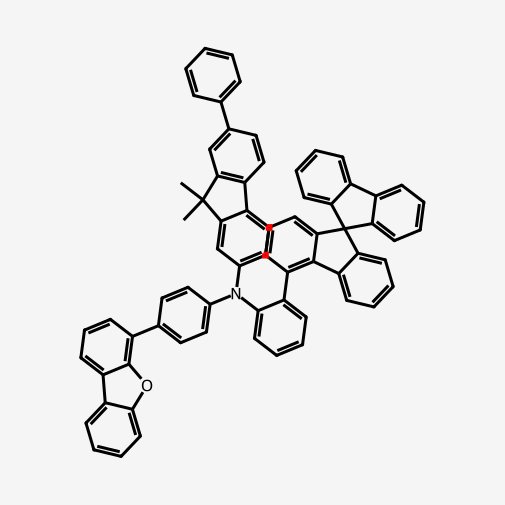 CC1(C)c2cc(-c3ccccc3)ccc2-c2ccc(N(c3ccc(-c4cccc5c4oc4ccccc45)cc3)c3ccccc3-c3cccc4c3-c3ccccc3C43c4ccccc4-c4ccccc43)cc21